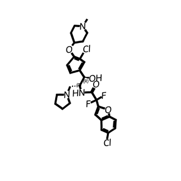 CN1CCC(Oc2ccc([C@@H](O)[C@@H](CN3CCCC3)NC(=O)C(F)(F)c3cc4cc(Cl)ccc4o3)cc2Cl)CC1